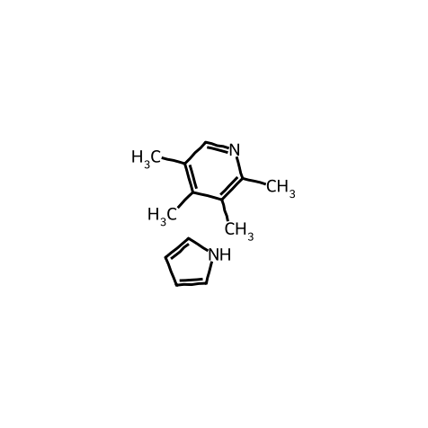 Cc1cnc(C)c(C)c1C.c1cc[nH]c1